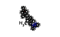 Cc1cccc([Si](c2ccccc2)(c2cccc(-c3ccc([Si](c4ccccc4)(c4ccccc4)c4cccc5c4sc4ccccc45)cc3C)c2)c2cccc(-n3c4ccccc4n4c5ccccc5nc34)c2)c1